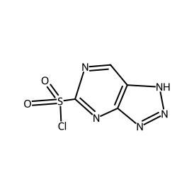 O=S(=O)(Cl)c1ncc2[nH]nnc2n1